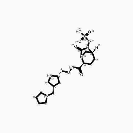 O=C(NOC[C@@H]1C[C@@H](CN2CCCC2)CN1)[C@@H]1CC[C@@H]2CN1C(=O)N2OS(=O)(=O)O